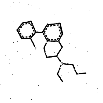 CCCN(CC)[C@H]1CCc2c(cccc2-c2ccccc2F)C1